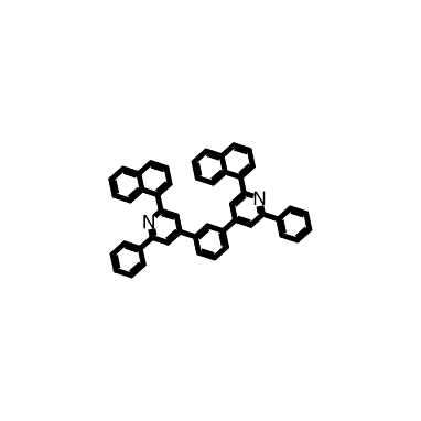 c1ccc(-c2cc(-c3cccc(-c4cc(-c5ccccc5)nc(-c5cccc6ccccc56)c4)c3)cc(-c3cccc4ccccc34)n2)cc1